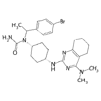 CC(c1ccc(Br)cc1)N(C(N)=O)[C@H]1CC[C@@H](Nc2nc3c(c(N(C)C)n2)CCCC3)CC1